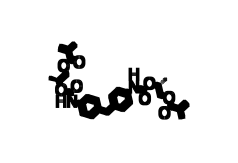 C=C(C)C(=O)OC[C@@H](C)OC(=O)Nc1ccc(Cc2ccc(NC(=O)O[C@@H](C)COC(=O)C(=C)C)cc2)cc1